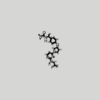 CC(NC(=O)N(C)C)c1ccc(O[C@@H]2CCN(c3ccnc(N(C)CC(F)F)n3)C2)cc1